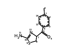 Cc1ccc(C(=O)C2CSC(N)=N2)cc1